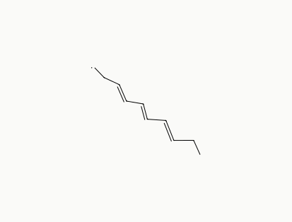 [CH2]C/C=C/C=C/C=C/CC